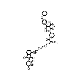 C=C(CCOCCOCCNc1cccc2c1C(=O)N(C1CCC(=O)NC1=O)C2=O)C(=O)N1CCCC(Nc2ncnc(N)c2C(=N)c2ccc(Oc3ccccc3)cc2)C1